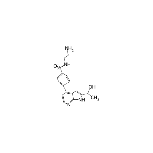 CC(O)c1cc2c(-c3ccc([S@@+]([O-])NCCN)cc3)ccnc2[nH]1